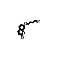 O=c1ccc2ccc(OCCCCBr)cc2o1